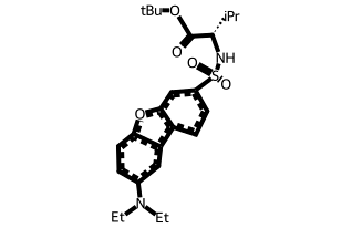 CCN(CC)c1ccc2oc3cc(S(=O)(=O)N[C@H](C(=O)OC(C)(C)C)C(C)C)ccc3c2c1